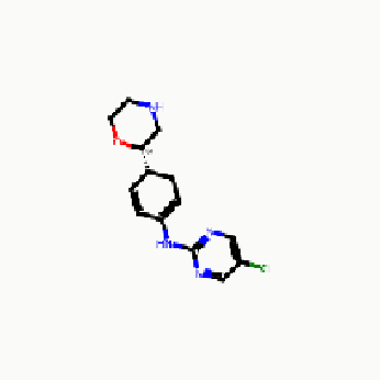 Clc1cnc(NC2=CCC([C@H]3CNCCO3)C=C2)nc1